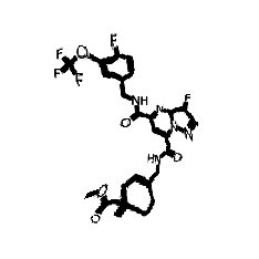 COC(=O)C1(C)CC=C(CNC(=O)c2cc(C(=O)NCc3ccc(F)c(OC(F)(F)F)c3)nc3c(F)cnn23)CC1